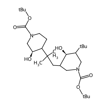 CC(C)(C)OC(=O)N1CC(CC(C)(C)C2CCN(C(=O)OC(C)(C)C)C[C@@H]2O)[C@@H](O)C(C(C)(C)C)C1